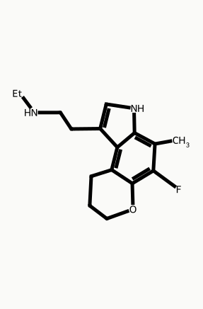 CCNCCc1c[nH]c2c(C)c(F)c3c(c12)CCCO3